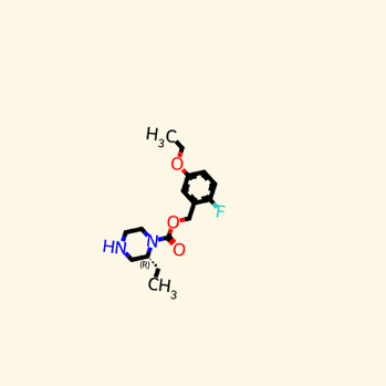 CCOc1ccc(F)c(COC(=O)N2CCNC[C@H]2CC)c1